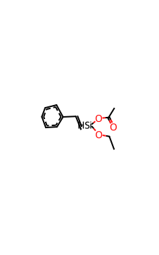 CCO[SiH](C=Cc1ccccc1)OC(C)=O